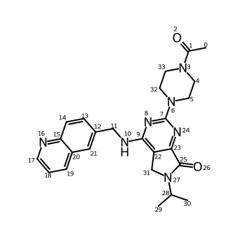 CC(=O)N1CCN(c2nc(NCc3ccc4ncccc4c3)c3c(n2)C(=O)N(C(C)C)C3)CC1